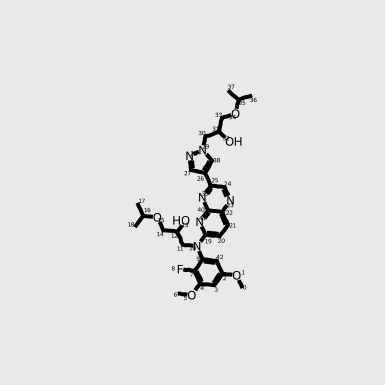 COc1cc(OC)c(F)c(N(CC(O)COC(C)C)c2ccc3ncc(-c4cnn(CC(O)COC(C)C)c4)nc3n2)c1